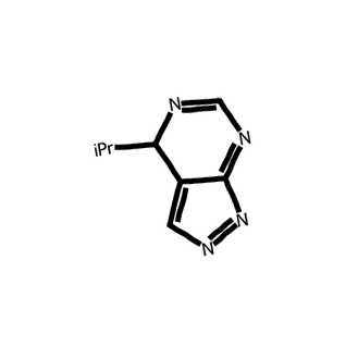 CC(C)C1N=CN=C2N=NC=C21